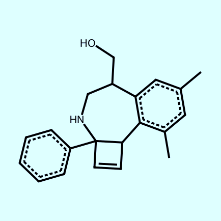 Cc1cc(C)c2c(c1)C(CO)CNC1(c3ccccc3)C=CC21